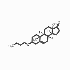 CCCCOC1CC[C@@]2(C)C(=CC[C@@H]3[C@@H]2CC[C@]2(C)C(=O)CC[C@@H]32)C1